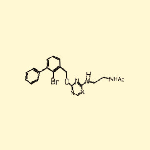 CC(=O)NCCNc1ncnc(OCc2cccc(-c3ccccc3)c2Br)n1